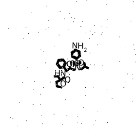 CCC1(C(=O)N[C@@](C)(c2ccccc2)[C@H](O)CN(CC(C)C)S(=O)(=O)c2ccc(N)cc2)CCCO1